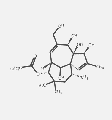 CCCCCCCC(=O)O[C@@H]1[C@@H]2C=C(CO)[C@@H](O)[C@]3(O)[C@@H](O)C(C)=C[C@@]3(C2O)[C@H](C)CC1(C)C